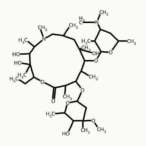 CCC1OC(=O)C(C)C(OC2CC(C)(OC)C(O)C(C)O2)C(C)C(OC2OC(C)CC(N(C)C)C2C)C(C)(O)CC(C)CN(C)C(C)C(O)C1(C)O